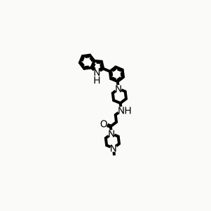 CN1CCN(C(=O)CCNC2CCN(c3cccc(-c4cc5ccccc5[nH]4)c3)CC2)CC1